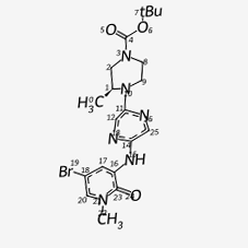 C[C@H]1CN(C(=O)OC(C)(C)C)CCN1c1cnc(Nc2cc(Br)cn(C)c2=O)cn1